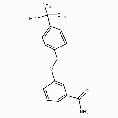 CC(C)(C)c1ccc(COc2cccc(C(N)=O)c2)cc1